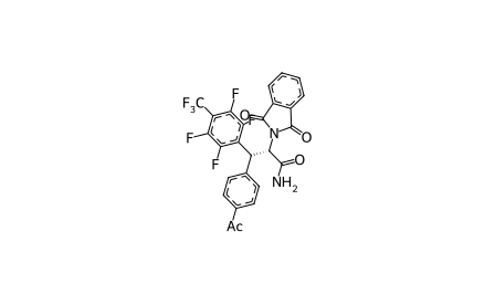 CC(=O)c1ccc(C(c2c(F)c(F)c(C(F)(F)F)c(F)c2F)[C@@H](C(N)=O)N2C(=O)c3ccccc3C2=O)cc1